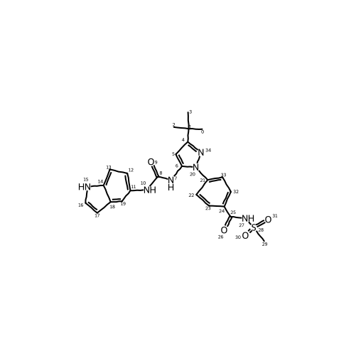 CC(C)(C)c1cc(NC(=O)Nc2ccc3[nH]ccc3c2)n(-c2ccc(C(=O)NS(C)(=O)=O)cc2)n1